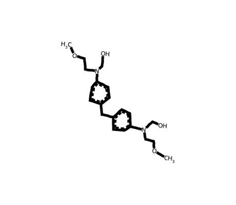 COCCN(CO)c1ccc(Cc2ccc(N(CO)CCOC)cc2)cc1